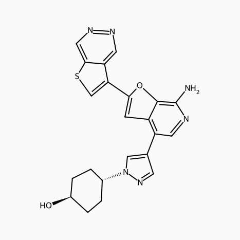 Nc1ncc(-c2cnn([C@H]3CC[C@H](O)CC3)c2)c2cc(-c3csc4cnncc34)oc12